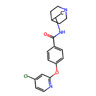 O=C(NC1CN2CCC1CC2)c1ccc(Oc2cc(Cl)ccn2)cc1